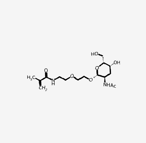 C=C(C)C(=O)NCCOCCO[C@@H]1O[C@H](CO)[C@H](O)C[C@H]1NC(C)=O